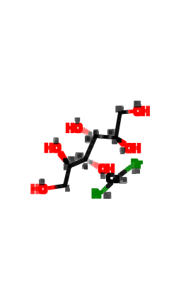 OC[C@@H](O)[C@@H](O)[C@H](O)[C@H](O)CO.[Br][Ca][Br]